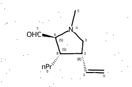 C=C[C@H]1CN(C)[C@H](C=O)[C@H]1CCC